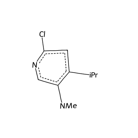 CNc1cnc(Cl)cc1C(C)C